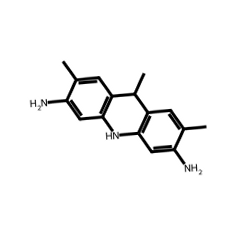 Cc1cc2c(cc1N)Nc1cc(N)c(C)cc1C2C